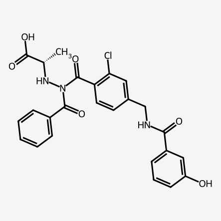 C[C@H](NN(C(=O)c1ccccc1)C(=O)c1ccc(CNC(=O)c2cccc(O)c2)cc1Cl)C(=O)O